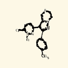 Cc1ccc(-c2nn3ccncc3c2-c2ccc(=O)n(C(C)C)n2)cc1